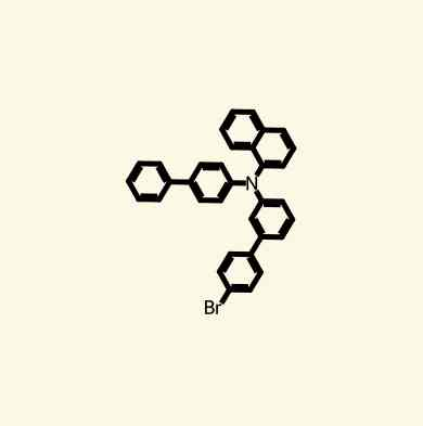 Brc1ccc(-c2cccc(N(c3ccc(-c4ccccc4)cc3)c3cccc4ccccc34)c2)cc1